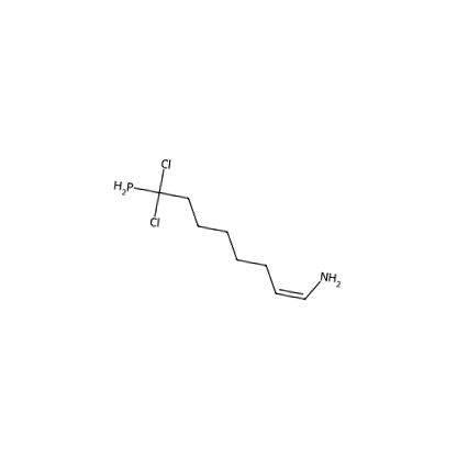 N/C=C\CCCCCC(P)(Cl)Cl